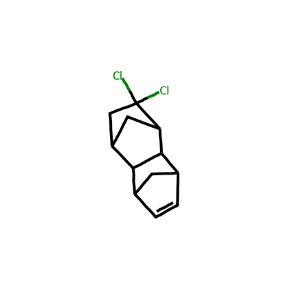 ClC1(Cl)CC2CC1C1C3C=CC(C3)C21